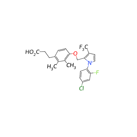 Cc1c(CCC(=O)O)ccc(OCc2c(C(F)(F)F)ccn2-c2ccc(Cl)cc2F)c1C